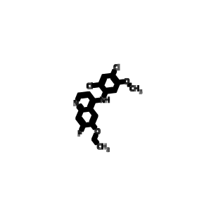 CCOc1cc2c(Nc3cc(OC)c(Cl)cc3Cl)ccnc2cc1F